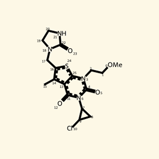 COCCn1c(=O)n(C2CC2Cl)c(=O)c2c(C)c(CN3CCNC3=O)sc21